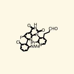 CNc1cccc(Cl)c1-c1nc2c(cc1F)c(=O)[nH]c(=O)n2-c1c(CCC=O)ccnc1C(C)C